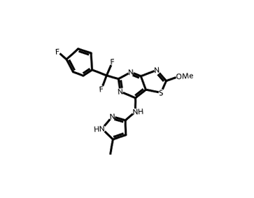 COc1nc2nc(C(F)(F)c3ccc(F)cc3)nc(Nc3cc(C)[nH]n3)c2s1